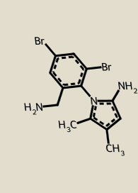 Cc1cc(N)n(-c2c(Br)cc(Br)cc2CN)c1C